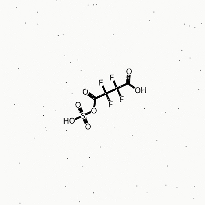 O=C(O)C(F)(F)C(F)(F)C(=O)OS(=O)(=O)O